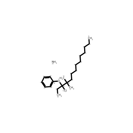 CCCCCCCCCCC(C)(C)C(Cl)(CC)Oc1ccccc1.N